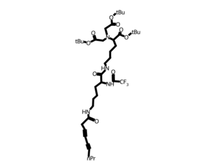 CCCC#CC#CCC(=O)NCCCCC(NC(=O)C(F)(F)F)C(=O)NCCCCC(C(=O)OC(C)(C)C)N(CC(=O)OC(C)(C)C)CC(=O)OC(C)(C)C